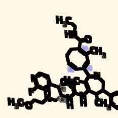 CCNC(=O)/C1=C(C)/C=C(C2=NCC(c3ccccc3)C(C)C(NC(=O)N[C@H](CNCCOC)[C@@H](O)c3ccnc(F)c3)=C2C)\C=C/CC1